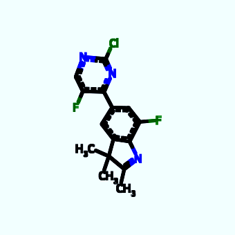 CC1=Nc2c(F)cc(-c3nc(Cl)ncc3F)cc2C1(C)C